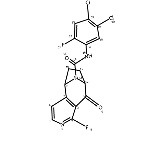 O=C1c2c(ccnc2F)C2CCC1N2C(=O)Nc1cc(Cl)c(Cl)cc1F